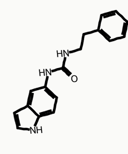 O=C(NCCc1ccccc1)Nc1ccc2[nH]ccc2c1